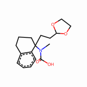 CN(C(=O)O)C1(CCC2OCCO2)CCCc2ccccc21